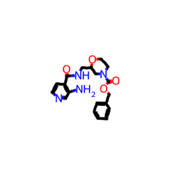 Nc1cnccc1C(=O)NCC1CN(C(=O)OCc2ccccc2)CCO1